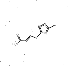 Cc1nnc(SC=CC(N)=O)s1